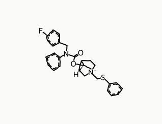 O=C(O[C@H]1C[N+]2(CSc3ccccc3)CCC1CC2)N(Cc1ccc(F)cc1)c1ccccc1